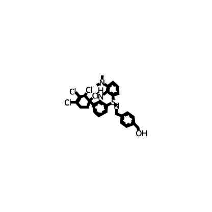 CN(C)c1cccc2c1Nc1c(cccc1C1(Cl)CCC(Cl)=C(Cl)C1Cl)S2=NCc1ccc(CO)cc1